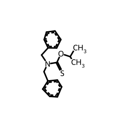 CC(C)OC(=S)N(Cc1ccccc1)Cc1ccccc1